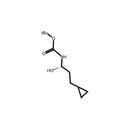 CC(C)(C)OC(=O)N[C@@H](O)CCC1CC1